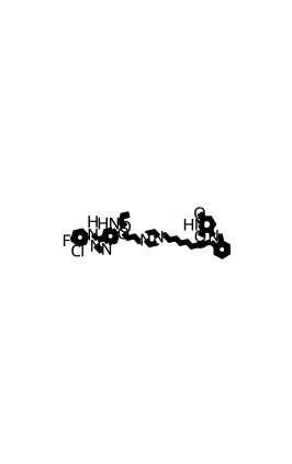 C=CC(=O)Nc1cc2c(Nc3ccc(F)c(Cl)c3)ncnc2cc1OCCCN1CCN(CCCCCCC#CC2c3ccccc3CN2C2CCC(=O)NC2=O)CC1